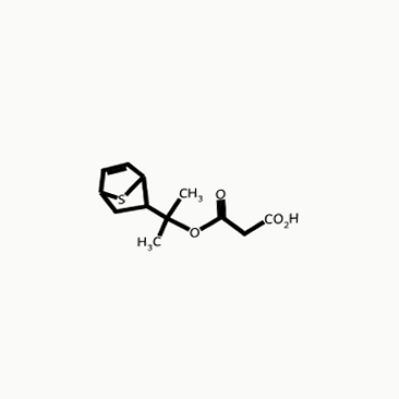 CC(C)(OC(=O)CC(=O)O)C1CC2C=CC1S2